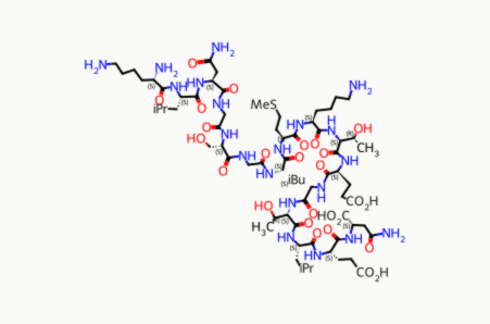 CC[C@H](C)[C@H](NC(=O)CNC(=O)[C@H](CO)NC(=O)CNC(=O)[C@H](CC(N)=O)NC(=O)[C@H](CC(C)C)NC(=O)[C@@H](N)CCCCN)C(=O)N[C@@H](CCSC)C(=O)N[C@@H](CCCCN)C(=O)N[C@H](C(=O)N[C@@H](CCC(=O)O)C(=O)NCC(=O)N[C@H](C(=O)N[C@@H](CC(C)C)C(=O)N[C@@H](CCC(=O)O)C(=O)N[C@@H](CC(N)=O)C(=O)O)[C@@H](C)O)[C@@H](C)O